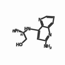 CCC[C@H](CO)Nc1cc(N)nc2cccnc12